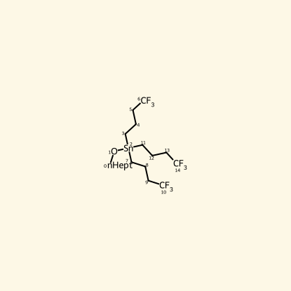 CCCCCCC[O][Sn]([CH2]CCC(F)(F)F)([CH2]CCC(F)(F)F)[CH2]CCC(F)(F)F